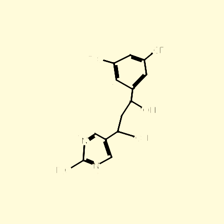 OC(CC(O)c1cc(C(F)(F)F)cc(C(F)(F)F)c1)c1cnc(C(F)(F)F)nc1